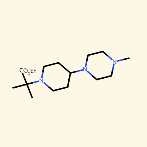 CCOC(=O)C(C)(C)N1CCC(N2CCN(C)CC2)CC1